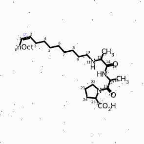 CCCCCCCC/C=C\CCCCCCCCNC(C)C(=O)NC(C)C(=O)N1CCCC1C(=O)O